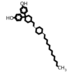 CCCCCCCCCCCCC[C@H]1CC[C@H](CCC2CCC(c3ccc(O)cc3)(c3ccc(O)cc3)CC2)CC1